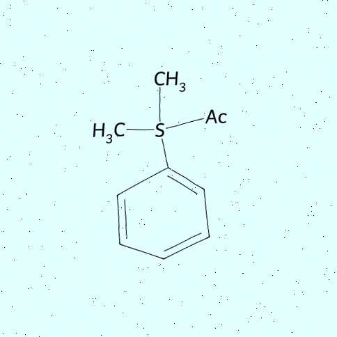 CC(=O)S(C)(C)c1ccccc1